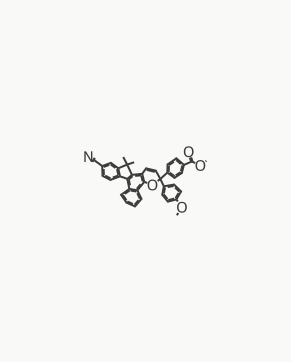 COC(=O)c1ccc(C2(c3ccc(OC)cc3)C=Cc3c4c(c5ccccc5c3O2)-c2ccc(C#N)cc2C4(C)C)cc1